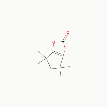 CC1(C)CC(C)(C)c2oc(=O)oc21